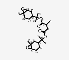 CC(CC(=O)OC(C)(C)C1CCC2OC2(C)C1)C(=O)OC(C)(C)C1CCC2(C)OC2C1